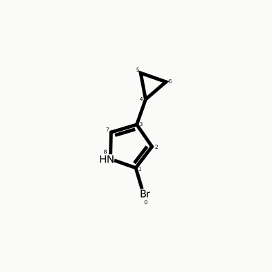 Brc1cc(C2CC2)c[nH]1